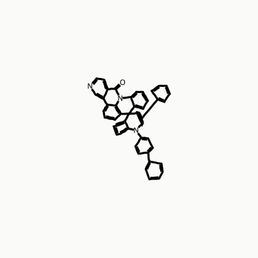 O=c1c2ccncc2c2cccc3c2n1-c1ccccc1C31c2ccccc2N(c2ccc(-c3ccccc3)cc2)c2ccc(-c3ccccc3)cc21